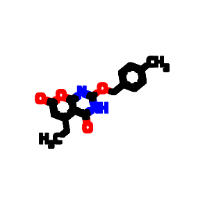 CCc1cc(=O)oc2nc(OCc3ccc(C)cc3)[nH]c(=O)c12